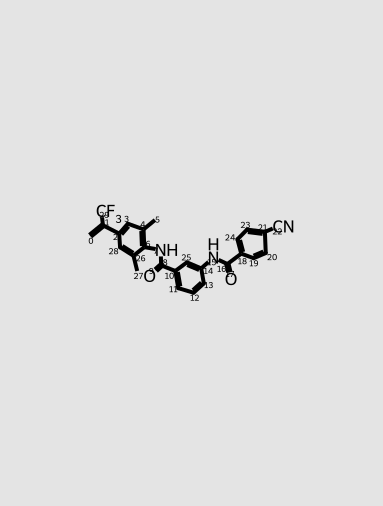 C=C(c1cc(C)c(NC(=O)c2cccc(NC(=O)c3ccc(C#N)cc3)c2)c(C)c1)C(F)(F)F